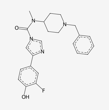 CN(C(=O)n1cnc(-c2ccc(O)c(F)c2)c1)C1CCN(Cc2ccccc2)CC1